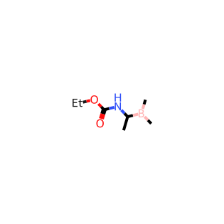 CCOC(=O)NC(C)B(C)C